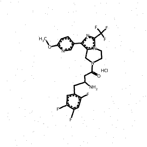 COc1ccc(-c2nc(C(F)(F)F)n3c2CN(C(=O)CC(N)Cc2cc(F)c(F)cc2F)CC3)cn1.Cl